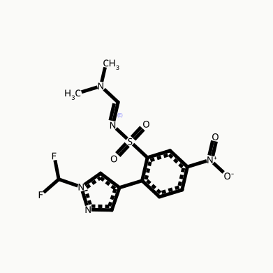 CN(C)/C=N/S(=O)(=O)c1cc([N+](=O)[O-])ccc1-c1cnn(C(F)F)c1